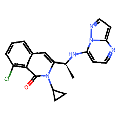 C[C@H](Nc1ccnc2ccnn12)c1cc2cccc(Cl)c2c(=O)n1C1CC1